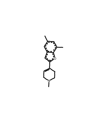 Cc1cc(C)c2oc(C3=CCN(C)CC3)cc2c1